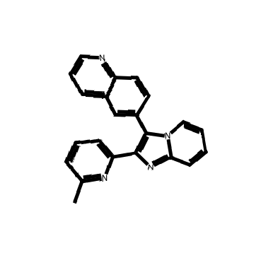 Cc1cccc(-c2nc3ccccn3c2-c2ccc3ncccc3c2)n1